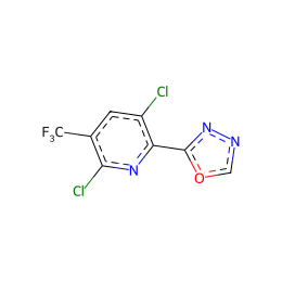 FC(F)(F)c1cc(Cl)c(-c2nnco2)nc1Cl